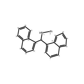 CC(C)NC(c1cccc2ccccc12)c1cccc2ccccc12